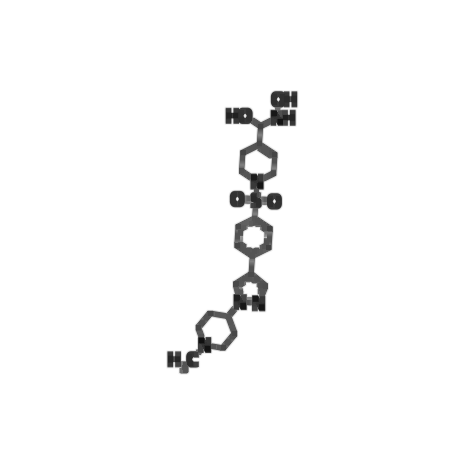 CN1CCC(n2cc(-c3ccc(S(=O)(=O)N4CC=C(C(O)NO)CC4)cc3)cn2)CC1